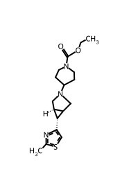 CCOC(=O)N1CCC(N2CC3[C@H](C2)[C@H]3c2csc(C)n2)CC1